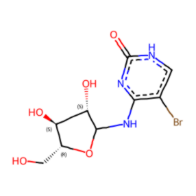 O=c1nc(NC2O[C@H](CO)[C@@H](O)[C@@H]2O)c(Br)c[nH]1